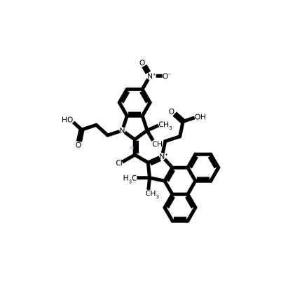 CC1(C)C(/C(Cl)=C2/N(CCC(=O)O)c3ccc([N+](=O)[O-])cc3C2(C)C)=[N+](CCC(=O)O)c2c1c1ccccc1c1ccccc21